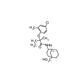 C.Cc1cc(Cl)ccc1OC(C)(C)C(=O)NC1CCC2(C(=O)O)CCC[C@H]1C2